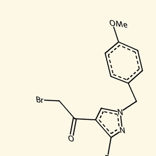 CCc1nn(Cc2ccc(OC)cc2)cc1C(=O)CBr